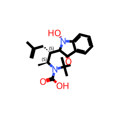 C=C(C)C[C@H](C1C(=O)c2ccccc2N1O)[C@H](C)N(C(=O)O)C(C)(C)C